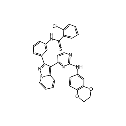 S=C(Nc1cccc(-c2nn3ccccc3c2-c2ccnc(Nc3ccc4c(c3)OCCO4)n2)c1)c1ccccc1Cl